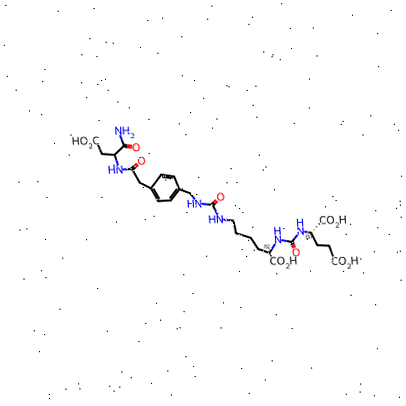 NC(=O)C(CC(=O)O)NC(=O)Cc1ccc(CNC(=O)NCCCC[C@H](NC(=O)N[C@@H](CCC(=O)O)C(=O)O)C(=O)O)cc1